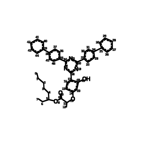 CCCCCC(CC)OC(=O)C(C)Oc1ccc(-c2nc(-c3ccc(-c4ccccc4)cc3)nc(-c3ccc(-c4ccccc4)cc3)n2)c(O)c1